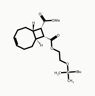 COC(=O)[C@H]1[C@H]2CC/C=C\CC[C@@H]2[C@H]1C(=O)OCCO[Si](C)(C)C(C)(C)C